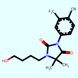 CC1(C)C(=O)N(c2ccc(C#N)c(C(F)(F)F)c2)C(=O)N1CCCCO